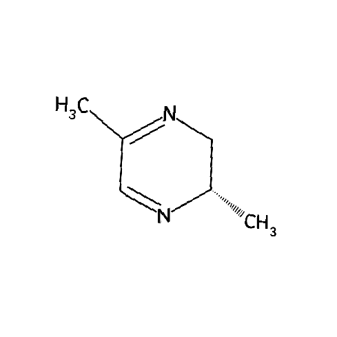 CC1=NC[C@H](C)N=C1